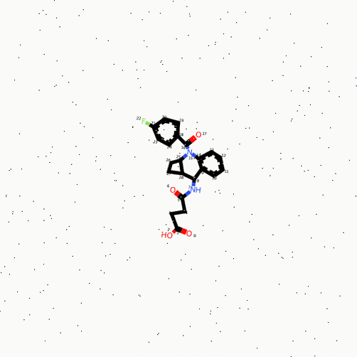 O=C(O)CCC(=O)NC1c2ccccc2N(C(=O)c2ccc(F)cc2)C2CCC12